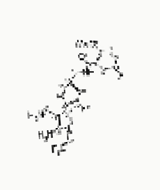 COc1ccc(F)cc1C(=O)NCc1ccc(-c2nn(CC(F)(F)F)c(N)c2CN)c(F)c1